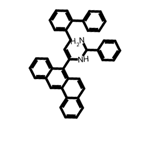 NC(N/C(=C\Cc1ccccc1-c1ccccc1)c1c2ccccc2cc2c1ccc1ccccc12)c1ccccc1